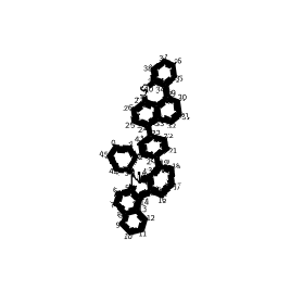 C1=CCC(n2c3ccc4ccccc4c3c3cccc(-c4ccc(-c5ccc6c7c(cccc57)-c5ccccc5S6)cc4)c32)C=C1